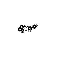 COc1cccc2c1OC(CNCc1cncc(-c3ccc(F)cc3)c1)CC2